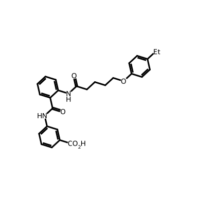 CCc1ccc(OCCCCC(=O)Nc2ccccc2C(=O)Nc2cccc(C(=O)O)c2)cc1